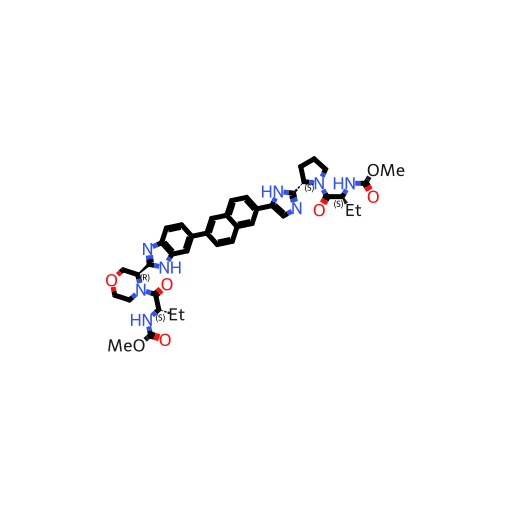 CC[C@H](NC(=O)OC)C(=O)N1CCC[C@H]1c1ncc(-c2ccc3cc(-c4ccc5nc([C@@H]6COCCN6C(=O)[C@H](CC)NC(=O)OC)[nH]c5c4)ccc3c2)[nH]1